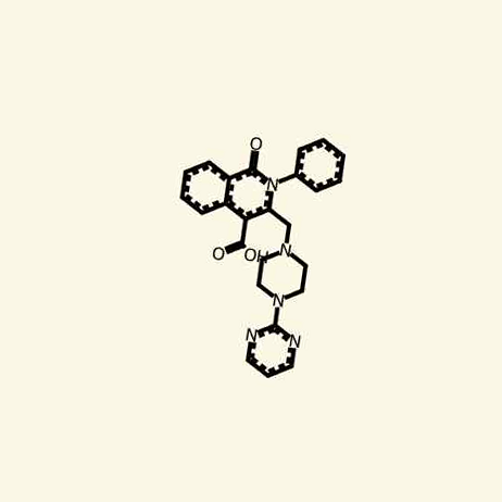 O=C(O)c1c(CN2CCN(c3ncccn3)CC2)n(-c2ccccc2)c(=O)c2ccccc12